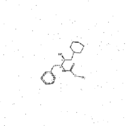 CC(C)(C)OC(=O)N[C@H](Cc1ccccc1)[C@@H](O)CN1CCCCC1